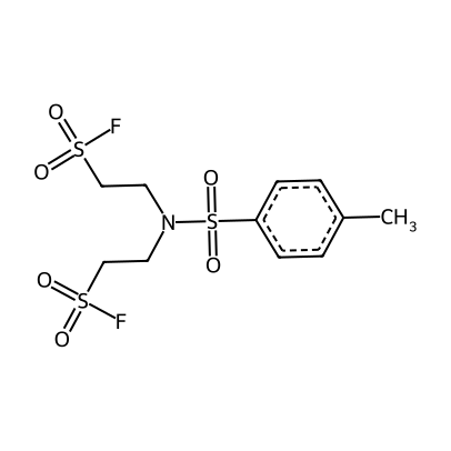 Cc1ccc(S(=O)(=O)N(CCS(=O)(=O)F)CCS(=O)(=O)F)cc1